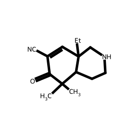 CCC12C=C(C#N)C(=O)C(C)(C)C1CCNC2